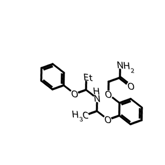 CCC(NC(C)Oc1ccccc1OCC(N)=O)Oc1ccccc1